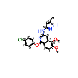 COc1ccc2c(Oc3ccc(Cl)cc3)nc(Nc3cc(C)[nH]n3)cc2c1OC